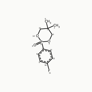 CC1(C)COP(=O)(c2ccc(F)cc2)OC1